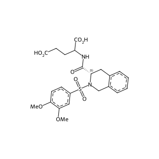 COc1ccc(S(=O)(=O)N2Cc3ccccc3C[C@H]2C(=O)NC(CCC(=O)O)C(=O)O)cc1OC